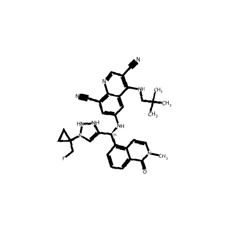 Cn1ccc2c([C@H](Nc3cc(C#N)c4ncc(C#N)c(NCC(C)(C)C)c4c3)C3=CN(C4(CF)CC4)NN3)cccc2c1=O